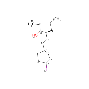 CCC[C@@H](CCC1CCC(I)CC1)C(O)CC